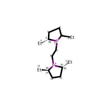 CCC1CC[C@@H](CC)P1CCP1[C@H](CC)CC[C@H]1CC